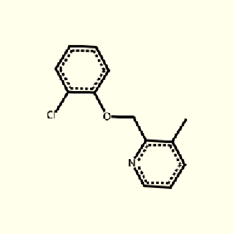 Cc1cccnc1COc1ccccc1Cl